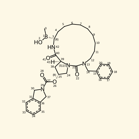 CB(O)[C@@H]1CCCCCCCCCN(Cc2ccccc2)C(=O)N2C[C@H](OC(=O)N3Cc4ccccc4C3)C[C@H]2C(=O)N1